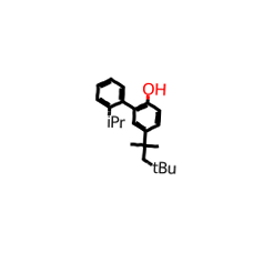 CC(C)c1ccccc1-c1cc(C(C)(C)CC(C)(C)C)ccc1O